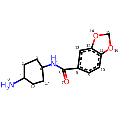 NC1CCC(NC(=O)c2ccc3c(c2)OCO3)CC1